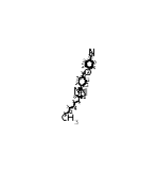 CCCCCCCc1cnc(C2CCC(COc3ccc(C#N)cc3)CC2)nc1